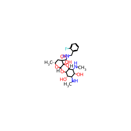 CN[C@@H]1[C@H](O)[C@H](NC)[C@H]2O[C@]3(O)[C@H](OC2[C@H]1O)O[C@H](C)C[C@@]3(O)CNCc1ccccc1F